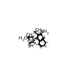 C=Nc1c(N)nc2c(c1N(CCS)CC(C)(C)C)C=CCC2